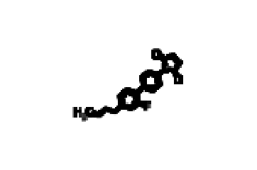 CCCCc1ccc(-c2ccc(N3C(=O)C=CC3=O)cc2)c(F)c1